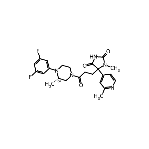 Cc1cc(C2(CCC(=O)N3CCN(c4cc(F)cc(F)c4)[C@@H](C)C3)C(=O)NC(=O)N2C)ccn1